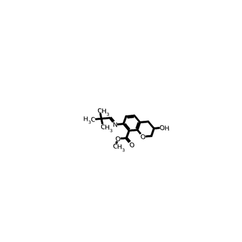 COC(=O)c1c(N=CC(C)(C)C)ccc2c1OCC(O)C2